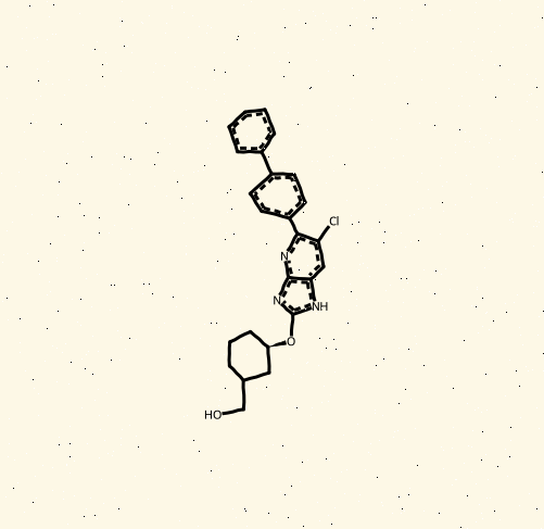 OCC1CCC[C@@H](Oc2nc3nc(-c4ccc(-c5ccccc5)cc4)c(Cl)cc3[nH]2)C1